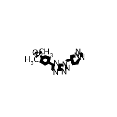 CP(C)(=O)c1ccc(-c2cnc3nnn(Cc4ccc5ncnn5c4)c3n2)cc1